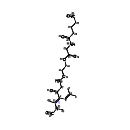 CC(C)=C/C(C(=O)CNOCCOC(=O)CNC(=O)CCCC=O)=C(/C)N(C)C=O